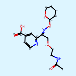 CC(=O)NCCOC/C(=N\OC1CCCCO1)c1cc(C(=O)O)ccn1